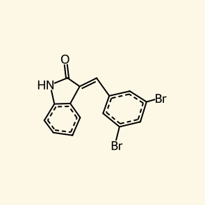 O=C1Nc2ccccc2/C1=C\c1cc(Br)cc(Br)c1